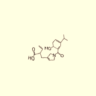 C=CC(CC1=CCN(C(=O)C2=CC(C(C)C)=CCC2O)C1)C(=O)O